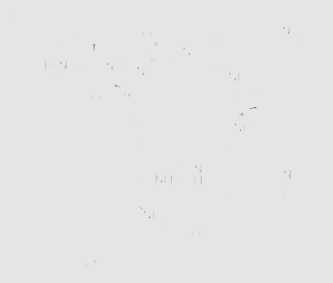 C[C@@H](O)[C@@H]1NC(=O)[C@H](CCCCN)NC(=O)[C@@H](Cc2ccc(NSc3ccccc3)cc2)NC(=O)[C@H](Cc2ccc(O)cc2)NC(=O)[C@H](NC(=O)[C@@H](N)Cc2ccc(Cl)cc2)CSSC[C@@H](C(=O)N[C@H](Cc2ccc(O)cc2)C(N)=O)NC1=O